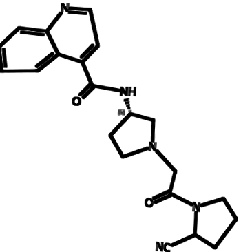 N#CC1CCCN1C(=O)CN1CC[C@H](NC(=O)c2ccnc3ccccc23)C1